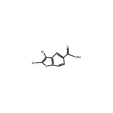 COC(=O)c1ccc2sc(C#N)c(Br)c2c1